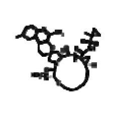 Cc1ccc2nc(C(F)(F)F)c3c(c2c1)CC[C@]1(C[C@H]2C(=O)N[C@]4(C(=O)NS(=O)(=O)C5(C)CC5)C[C@H]4/C=C\CCCCC[C@H](NC(=O)O)C(=O)N2C1)O3